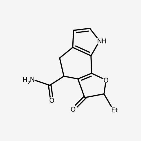 CCC1OC2=C(C1=O)C(C(N)=O)Cc1cc[nH]c12